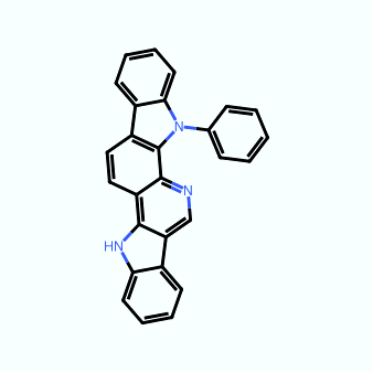 c1ccc(-n2c3ccccc3c3ccc4c(ncc5c6ccccc6[nH]c54)c32)cc1